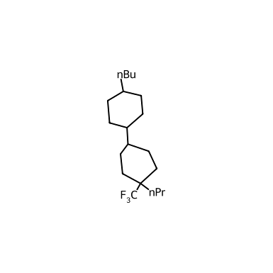 CCCCC1CCC(C2CCC(CCC)(C(F)(F)F)CC2)CC1